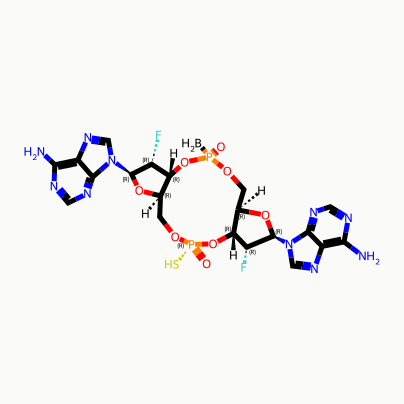 BP1(=O)OC[C@H]2O[C@@H](n3cnc4c(N)ncnc43)[C@H](F)[C@@H]2O[P@](=O)(S)OC[C@H]2O[C@@H](n3cnc4c(N)ncnc43)[C@H](F)[C@@H]2O1